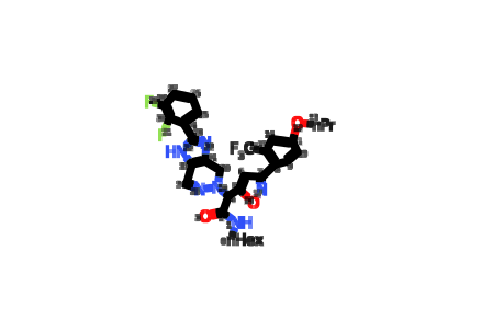 CCCCCCNC(=O)C(c1cc(-c2ccc(OCCC)cc2C(F)(F)F)no1)N1Cc2nc(-c3cccc(F)c3F)[nH]c2C=N1